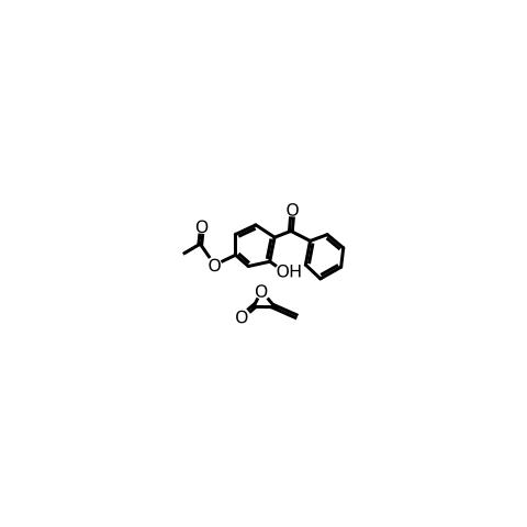 C=C1OC1=O.CC(=O)Oc1ccc(C(=O)c2ccccc2)c(O)c1